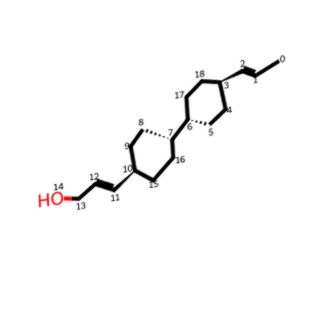 CC=C[C@H]1CC[C@H]([C@H]2CC[C@H](C=CCO)CC2)CC1